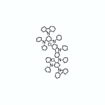 Clc1c(N(c2ccccc2)c2ccccc2)cc(-n2c3ccccc3c3ccccc32)cc1N(c1ccccc1)c1ccc2c3ccc(N(c4ccccc4)c4cc(-n5c6ccccc6c6ccccc65)cc(N(c5ccccc5)c5ccccc5)c4Cl)cc3n(-c3ccccc3)c2c1